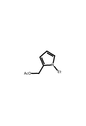 C[CH]n1cccc1COC(C)=O